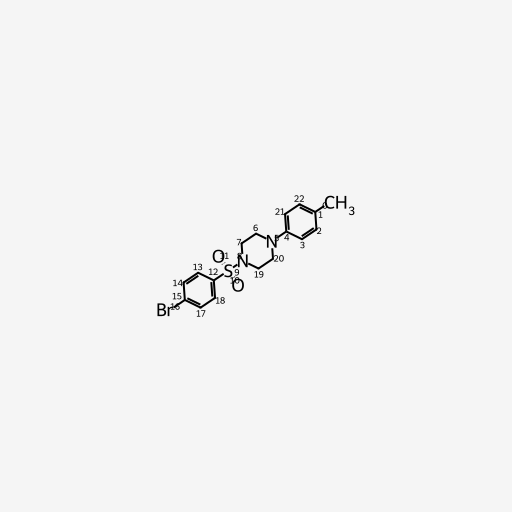 Cc1ccc(N2CCN(S(=O)(=O)c3ccc(Br)cc3)CC2)cc1